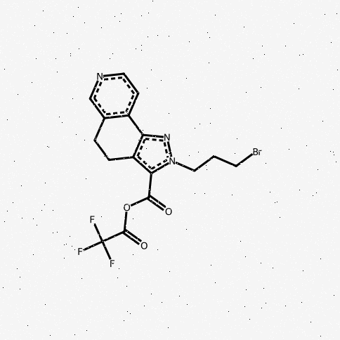 O=C(OC(=O)C(F)(F)F)c1c2c(nn1CCCBr)-c1ccncc1CC2